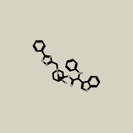 O=C(O[C@H]1C[N+]2(Cc3noc(-c4ccccc4)n3)CCC1CC2)C(Nc1ccccc1)c1csc2ccccc12